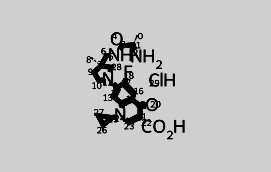 C[C@H](N)C(=O)NC[C@]1(C)CCN(c2cc3c(cc2F)c(=O)c(C(=O)O)cn3C2CC2)C1.Cl